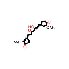 COC1=C/C(=C\C=C(/O)CC(=O)C/C=C2\C=CC(=O)C(OC)=C2)C=CC1=O